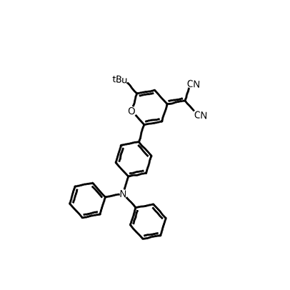 CC(C)(C)C1=CC(=C(C#N)C#N)C=C(c2ccc(N(c3ccccc3)c3ccccc3)cc2)O1